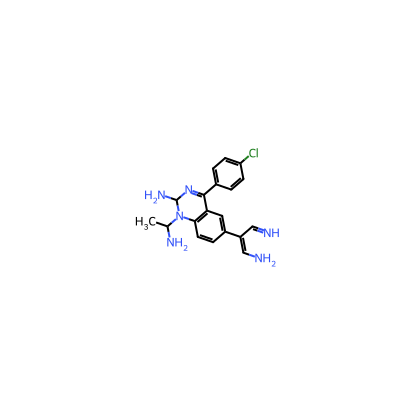 CC(N)N1c2ccc(/C(C=N)=C/N)cc2C(c2ccc(Cl)cc2)=NC1N